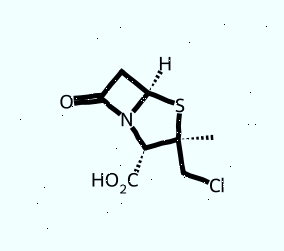 C[C@@]1(CCl)S[C@@H]2CC(=O)N2[C@H]1C(=O)O